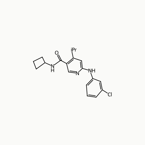 CC(C)c1cc(Nc2cccc(Cl)c2)ncc1C(=O)NC1CCC1